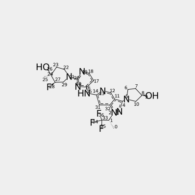 C[C@@H](n1nc(N2CC[C@@H](O)C2)c2cnc(Nc3ccnc(N4CC[C@](C)(O)[C@H](F)C4)n3)cc21)C(F)(F)F